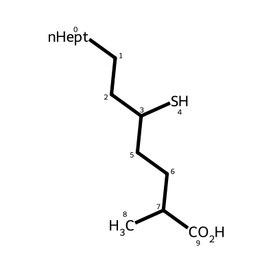 CCCCCCCCCC(S)CCC(C)C(=O)O